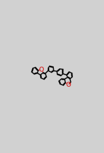 c1cc(-c2ccc(-c3cccc4c3-c3ccccc3OC4)cc2)cc(-c2cccc3c2oc2ccccc23)c1